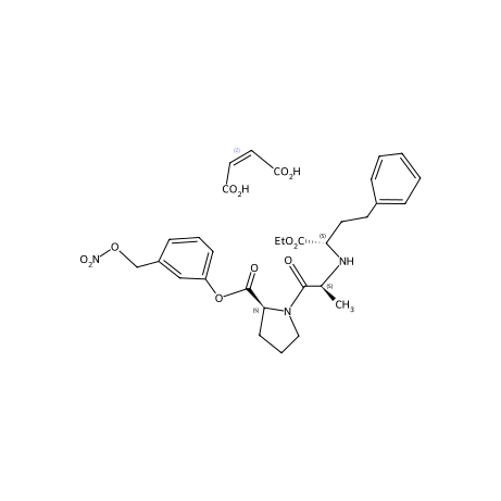 CCOC(=O)[C@H](CCc1ccccc1)N[C@@H](C)C(=O)N1CCC[C@H]1C(=O)Oc1cccc(CO[N+](=O)[O-])c1.O=C(O)/C=C\C(=O)O